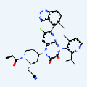 C=CC(=O)N1CCC(n2c(=O)c(=O)n(-c3c(C)ccnc3C(C)C)c3nc(-c4c(C)ccc5[nH]ncc45)c(F)cc32)C[C@H]1CC#N